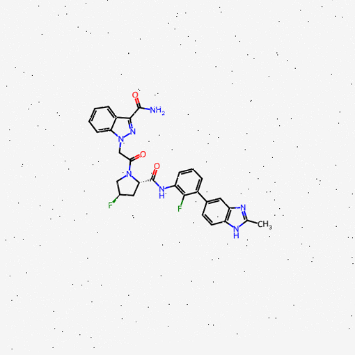 Cc1nc2cc(-c3cccc(NC(=O)[C@@H]4C[C@@H](F)CN4C(=O)Cn4nc(C(N)=O)c5ccccc54)c3F)ccc2[nH]1